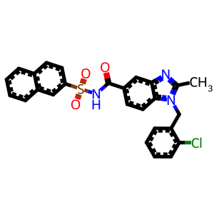 Cc1nc2cc(C(=O)NS(=O)(=O)c3ccc4ccccc4c3)ccc2n1Cc1ccccc1Cl